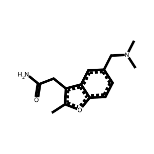 Cc1oc2ccc(CN(C)C)cc2c1CC(N)=O